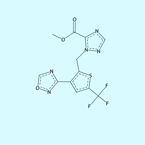 COC(=O)c1ncnn1Cc1sc(C(F)(F)F)cc1-c1ncon1